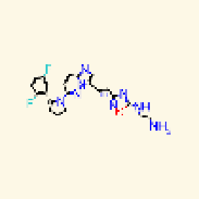 NCCNc1nc(/C=C/c2cnc3ccc(N4CCC[C@@H]4c4cc(F)ccc4F)nn23)no1